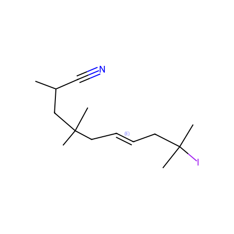 CC(C#N)CC(C)(C)C/C=C/CC(C)(C)I